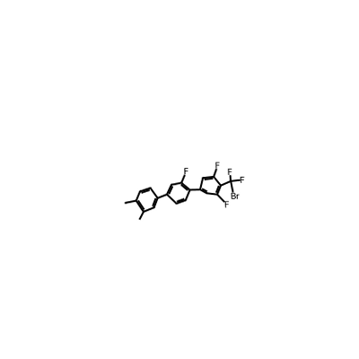 Cc1ccc(-c2ccc(-c3cc(F)c(C(F)(F)Br)c(F)c3)c(F)c2)cc1C